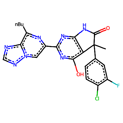 CCCCc1nc(-c2nc(O)c3c(n2)NC(=O)C3(C)c2ccc(Cl)c(F)c2)cn2ncnc12